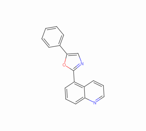 c1ccc(-c2cnc(-c3cccc4ncccc34)o2)cc1